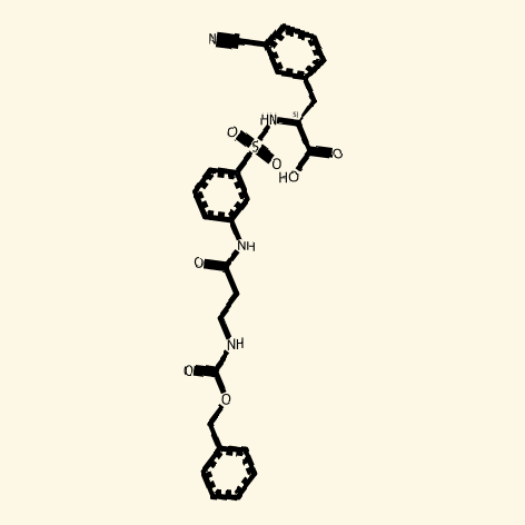 N#Cc1cccc(C[C@H](NS(=O)(=O)c2cccc(NC(=O)CCNC(=O)OCc3ccccc3)c2)C(=O)O)c1